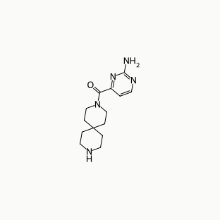 Nc1nccc(C(=O)N2CCC3(CCNCC3)CC2)n1